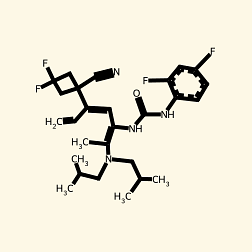 C=C/C(=C\C(NC(=O)Nc1ccc(F)cc1F)=C(/C)N(CC(C)C)CC(C)C)C1(C#N)CC(F)(F)C1